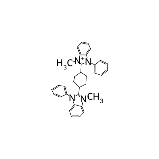 C[n+]1c(C2CCC(c3n(-c4ccccc4)c4ccccc4[n+]3C)CC2)n(-c2ccccc2)c2ccccc21